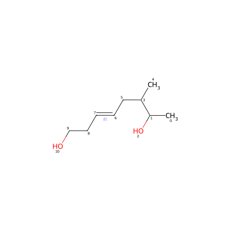 CC(O)C(C)C/C=C/CCO